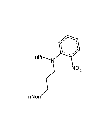 CCCCCCCCCCCCN(CCC)c1ccccc1[N+](=O)[O-]